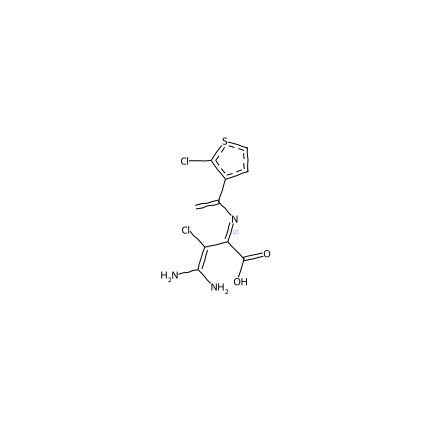 C=C(/N=C(/C(=O)O)C(Cl)=C(N)N)c1ccsc1Cl